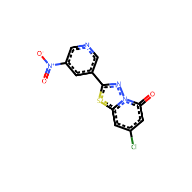 O=c1cc(Cl)cc2sc(-c3cncc([N+](=O)[O-])c3)nn12